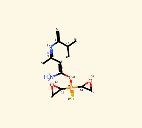 C=C(/N=C(C)\C=C(/N)OP(=S)(C1CO1)C1CO1)C(C)C